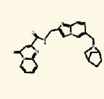 O=C(NCc1cn2cc(CN3CC4CCC3C4)ccc2n1)c1cc(=O)n2ccccc2n1